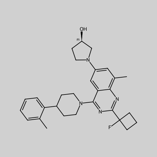 Cc1ccccc1C1CCN(c2nc(C3(F)CCC3)nc3c(C)cc(N4CC[C@@H](O)C4)cc23)CC1